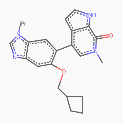 CC(C)n1cnc2cc(OCC3CCC3)c(-c3cn(C)c(=O)c4[nH]ccc34)cc21